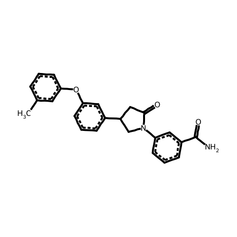 Cc1cccc(Oc2cccc(C3CC(=O)N(c4cccc(C(N)=O)c4)C3)c2)c1